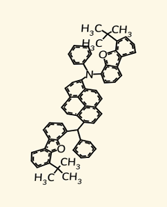 CC(C)(C)c1cccc2c1oc1c(C(c3ccccc3)c3ccc4ccc5c(N(c6ccccc6)c6cccc7c6oc6c(C(C)(C)C)cccc67)ccc6ccc3c4c65)cccc12